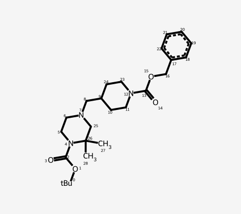 CC(C)(C)OC(=O)N1CCN(CC2CCN(C(=O)OCc3ccccc3)CC2)CC1(C)C